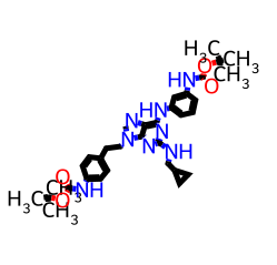 CC(C)(C)OC(=O)Nc1ccc(CCn2cnc3c(Nc4cccc(NC(=O)OC(C)(C)C)c4)nc(NCC4CC4)nc32)cc1